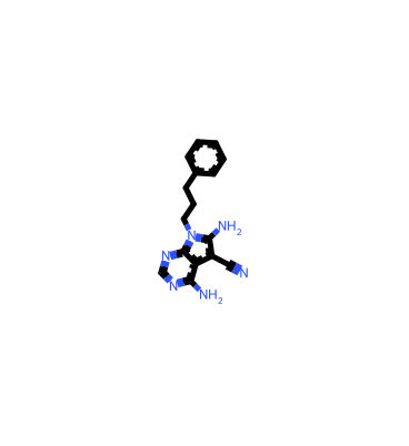 N#Cc1c(N)n(CCCc2ccccc2)c2ncnc(N)c12